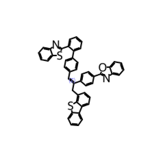 C(=C(\Cc1cccc2c1sc1ccccc12)c1ccc(-c2nc3ccccc3o2)cc1)/c1ccc(-c2ccccc2-c2nc3ccccc3s2)cc1